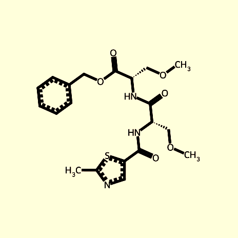 COC[C@H](NC(=O)c1cnc(C)s1)C(=O)N[C@@H](COC)C(=O)OCc1ccccc1